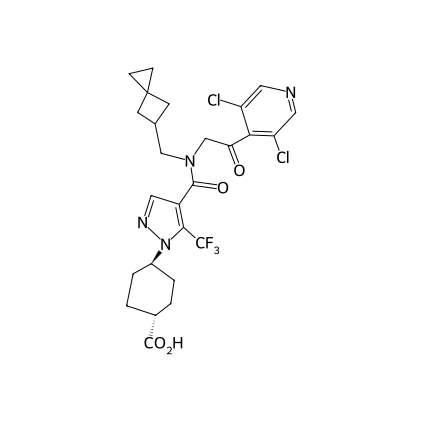 O=C(CN(CC1CC2(CC2)C1)C(=O)c1cnn([C@H]2CC[C@H](C(=O)O)CC2)c1C(F)(F)F)c1c(Cl)cncc1Cl